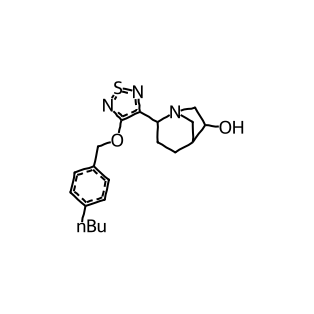 CCCCc1ccc(COc2nsnc2C2CCC3CN2CC3O)cc1